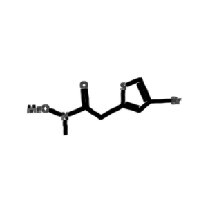 CON(C)C(=O)Cc1cc(Br)cs1